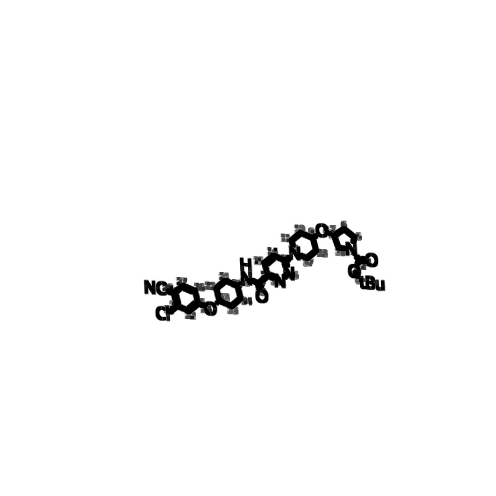 CC(C)(C)OC(=O)N1CC[C@H](OC2CCN(c3ccc(C(=O)N[C@H]4CC[C@H](Oc5ccc(C#N)c(Cl)c5)CC4)nn3)CC2)C1